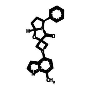 Cc1ccc(N2CC3(C2)O[C@@H]2CC[C@@H](c4ccccc4)N2C3=O)c2ccnn12